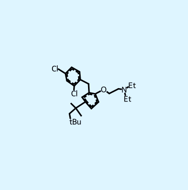 CCN(CC)CCOc1ccc(C(C)(C)CC(C)(C)C)cc1Cc1ccc(Cl)cc1Cl